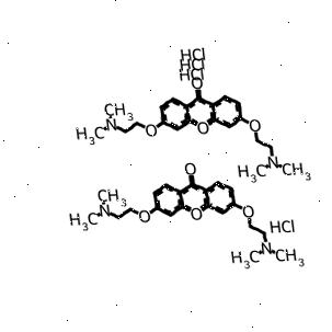 CN(C)CCOc1ccc2c(=O)c3ccc(OCCN(C)C)cc3oc2c1.CN(C)CCOc1ccc2c(=O)c3ccc(OCCN(C)C)cc3oc2c1.Cl.Cl.Cl.Cl